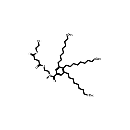 CCCCCCCCCCCCCCCCCCc1cc(C(=O)N(C)CCOC(=O)CCC(=O)OCCO)cc(CCCCCCCCCCCCCCCCCC)c1CCCCCCCCCCCCCCCCCC